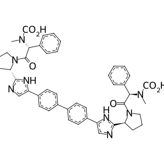 CN(C(=O)O)[C@@H](C(=O)N1CCC[C@H]1c1ncc(-c2ccc(-c3ccc(-c4cnc([C@@H]5CCCN5C(=O)[C@@H](c5ccccc5)N(C)C(=O)O)[nH]4)cc3)cc2)[nH]1)c1ccccc1